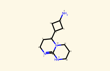 NC1CC(C2CCN=C3NCCCN32)C1